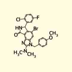 COc1ccc(Cn2c(N(C)C)nc3c4c(c(Br)cc32)C(c2cc(F)ccc2Cl)NC4=O)cc1